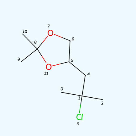 CC(C)(Cl)CC1COC(C)(C)O1